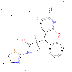 CC(C)(C(=O)NC1=NCCS1)C1c2ccccc2Oc2nc(Cl)ccc21